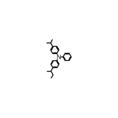 CCC(C)c1ccc(N(c2ccccc2)c2ccc(C(C)C)cc2)cc1